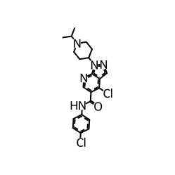 CC(C)N1CCC(n2ncc3c(Cl)c(C(=O)Nc4ccc(Cl)cc4)cnc32)CC1